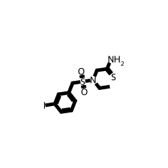 CCN(CC(N)=S)S(=O)(=O)Cc1cccc(I)c1